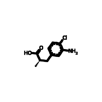 C[C@@H](Cc1ccc(Cl)c(N)c1)C(=O)O